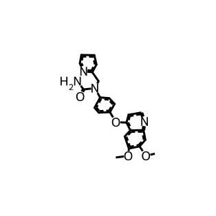 COc1cc2nccc(Oc3ccc(N(Cc4ccccn4)C(N)=O)cc3)c2cc1OC